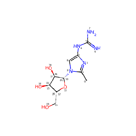 Cc1nc(NC(=N)N)cn1[C@@H]1O[C@H](CO)[C@@H](O)[C@H]1O